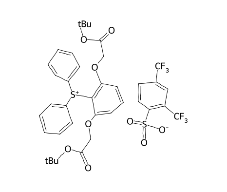 CC(C)(C)OC(=O)COc1cccc(OCC(=O)OC(C)(C)C)c1[S+](c1ccccc1)c1ccccc1.O=S(=O)([O-])c1ccc(C(F)(F)F)cc1C(F)(F)F